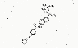 C[C@H](NCC(C)(C)C)c1ccc2c(c1)CC[C@H](NC(=O)c1ccc(OC[C@@H]3CCCO3)cc1)C2